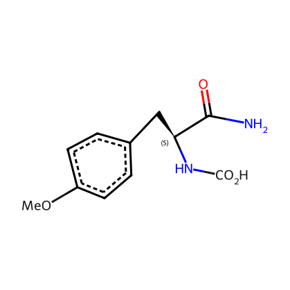 COc1ccc(C[C@H](NC(=O)O)C(N)=O)cc1